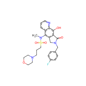 CN(c1c2c(c(O)c3ncccc13)C(=O)N(Cc1ccc(F)cc1)C2)S(=O)(=O)CCCN1CCOCC1